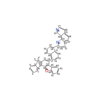 CC1(C)c2ccccc2-c2c1cc(-c1cccc3c(-c4ccc5ccc6ccncc6c5n4)cccc13)c1c2oc2ccccc21